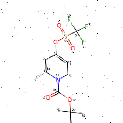 C[C@@H]1CC(OS(=O)(=O)C(F)(F)F)=CCN1C(=O)OC(C)(C)C